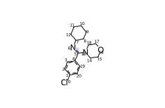 Clc1ccc(/C(=N/C2CCCCC2)N2CCOCC2)cc1